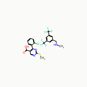 CNCc1cc(C(F)(F)F)cc(C(F)(F)F)c1.CSc1ncc(C(=O)O)c(-c2ccccc2Cl)n1